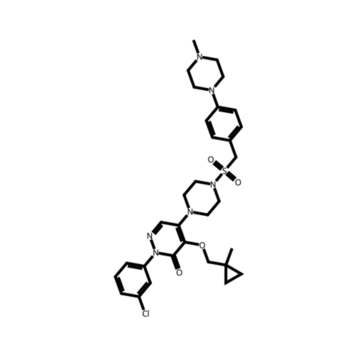 CN1CCN(c2ccc(CS(=O)(=O)N3CCN(c4cnn(-c5cccc(Cl)c5)c(=O)c4OCC4(C)CC4)CC3)cc2)CC1